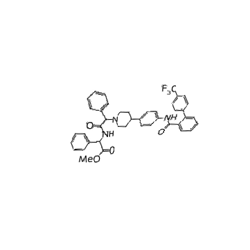 COC(=O)C(NC(=O)C(c1ccccc1)N1CCC(c2ccc(NC(=O)c3ccccc3-c3ccc(C(F)(F)F)cc3)cc2)CC1)c1ccccc1